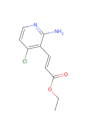 CCOC(=O)/C=C/c1c(Cl)ccnc1N